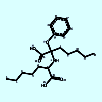 CCCCCC(NC(CCCCC)(Oc1ccccc1)C(=O)O)C(=O)O